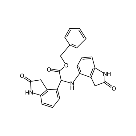 O=C1Cc2c(cccc2NC(C(=O)OCc2ccccc2)c2cccc3c2CC(=O)N3)N1